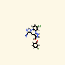 N#Cc1ncn2c1Cc1c(COc3cccc(F)c3)nnn1-c1cc(Cl)ccc1-2